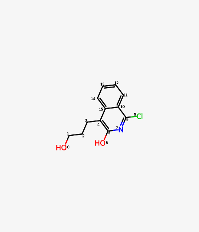 OCCCc1c(O)nc(Cl)c2ccccc12